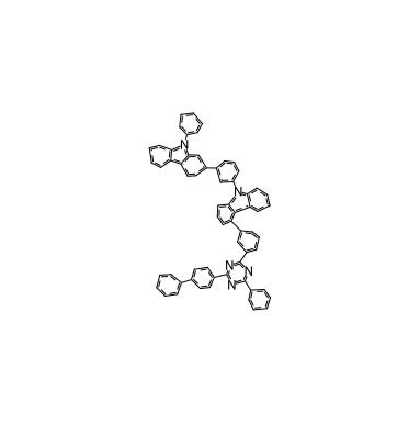 c1ccc(-c2ccc(-c3nc(-c4ccccc4)nc(-c4cccc(-c5cccc6c5c5ccccc5n6-c5cccc(-c6ccc7c8ccccc8n(-c8ccccc8)c7c6)c5)c4)n3)cc2)cc1